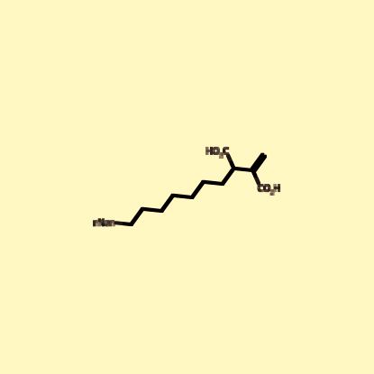 C=C(C(=O)O)C(CCCCCCCCCCCCCCCC)C(=O)O